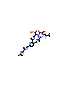 Cc1csc(-c2csc(-c3ccc(-c4nc(C(N)=O)cs4)c(-c4csc(C(NC(=O)c5csc(CC(C)C)n5)C(C)O)n4)n3)n2)n1